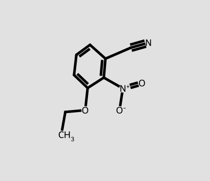 CCOc1cccc(C#N)c1[N+](=O)[O-]